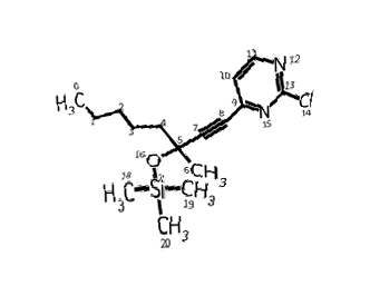 CCCCCC(C)(C#Cc1ccnc(Cl)n1)O[Si](C)(C)C